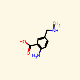 CNCc1ccc(N)c(C(=O)O)c1